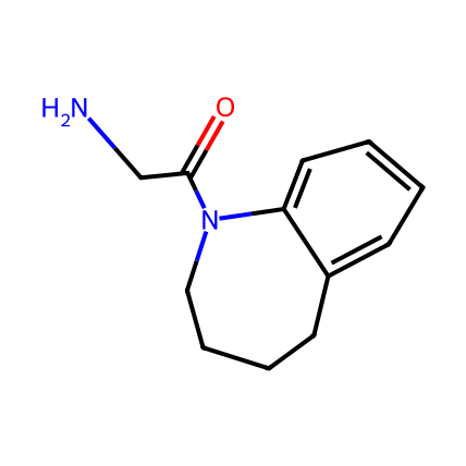 NCC(=O)N1CCCCc2ccccc21